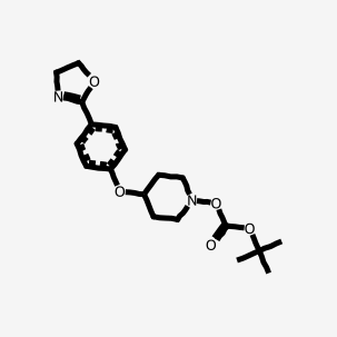 CC(C)(C)OC(=O)ON1CCC(Oc2ccc(C3=NCCO3)cc2)CC1